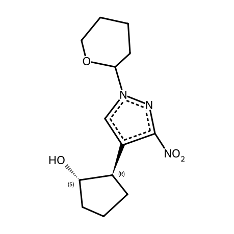 O=[N+]([O-])c1nn(C2CCCCO2)cc1[C@H]1CCC[C@@H]1O